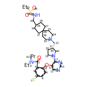 CCN(C(=O)c1cc(F)ccc1Oc1cncnc1N1CC[C@H](CN2CCC3(CCC(CNS(=O)(=O)CC)CC3)CC2)C1)C(C)C